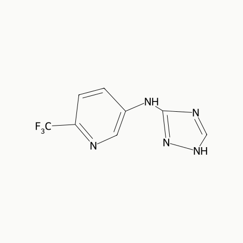 FC(F)(F)c1ccc(Nc2nc[nH]n2)cn1